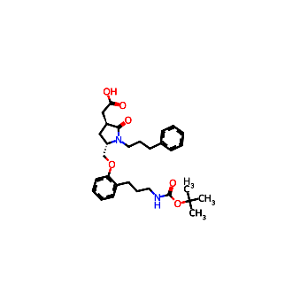 CC(C)(C)OC(=O)NCCCc1ccccc1OC[C@@H]1C[C@@H](CC(=O)O)C(=O)N1CCCc1ccccc1